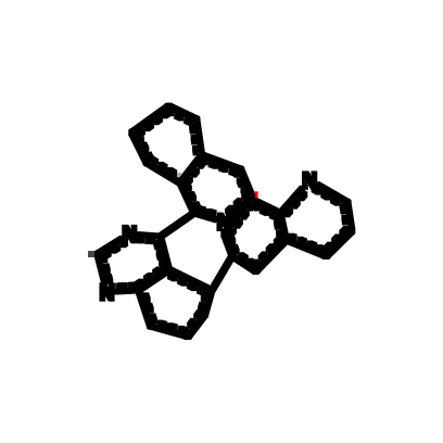 [c]1nc(-c2nccc3ccccc23)c2c(-c3ccc4ncccc4c3)cccc2n1